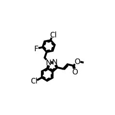 COC(=O)C=Cc1nn(Cc2ccc(Cl)cc2F)c2cc(Cl)ccc12